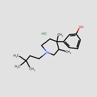 CC1CN(CCC(C)(C)C)CCC1(C)c1cccc(O)c1.Cl